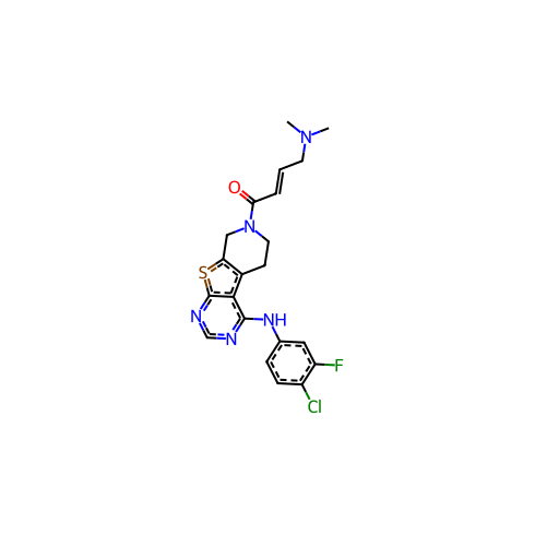 CN(C)CC=CC(=O)N1CCc2c(sc3ncnc(Nc4ccc(Cl)c(F)c4)c23)C1